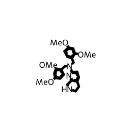 COc1ccc(CN(Cc2ccc(OC)cc2OC)c2ccc3c(n2)CNCC3)c(OC)c1